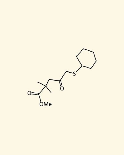 COC(=O)C(C)(C)CC(=O)CSC1CCCCC1